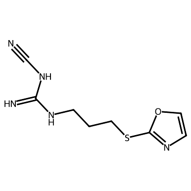 N#CNC(=N)NCCCSc1ncco1